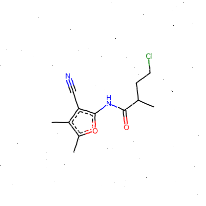 Cc1oc(NC(=O)C(C)CCCl)c(C#N)c1C